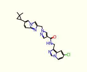 CC1(C)CC1c1ccc2nc(Cn3cc(C(=O)NCc4ncn5ccc(Cl)cc45)cn3)cn2c1